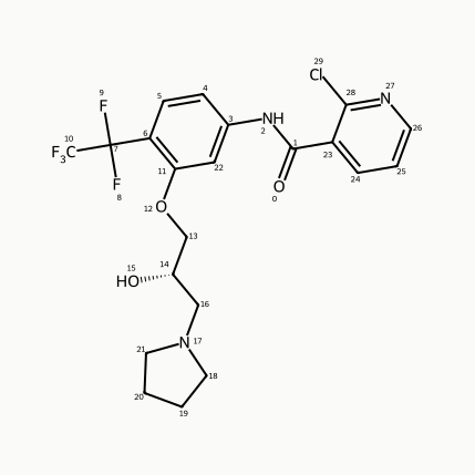 O=C(Nc1ccc(C(F)(F)C(F)(F)F)c(OC[C@@H](O)CN2CCCC2)c1)c1cccnc1Cl